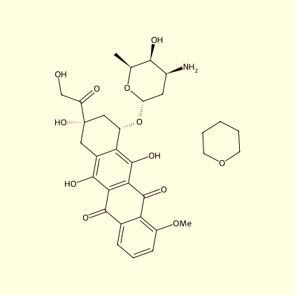 C1CCOCC1.COc1cccc2c1C(=O)c1c(O)c3c(c(O)c1C2=O)C[C@@](O)(C(=O)CO)C[C@@H]3O[C@H]1C[C@H](N)[C@H](O)[C@H](C)O1